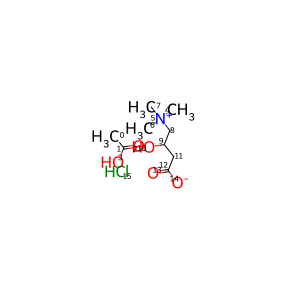 CC(=O)O.C[N+](C)(C)CC(O)CC(=O)[O-].Cl